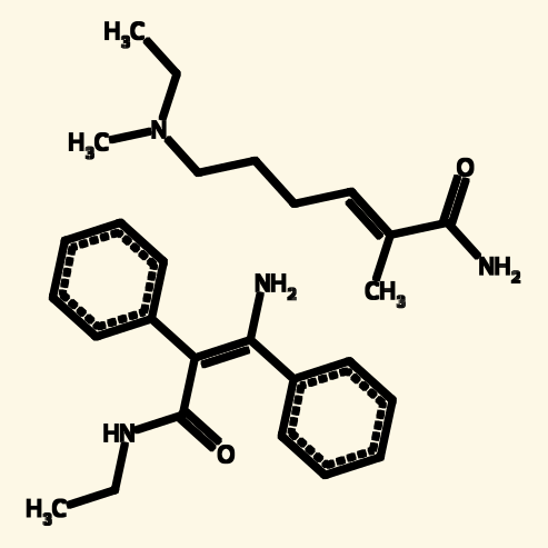 CCN(C)CCC/C=C(\C)C(N)=O.CCNC(=O)/C(=C(/N)c1ccccc1)c1ccccc1